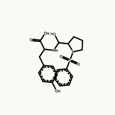 O=C(O)C(Cc1ccc(O)cc1)NC(O)C1CCCN1S(=O)(=O)c1ccccc1